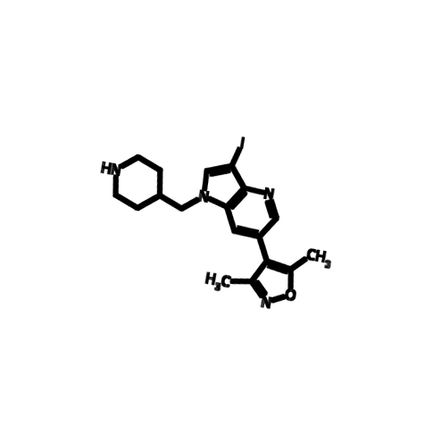 Cc1noc(C)c1-c1cnc2c(I)cn(CC3CCNCC3)c2c1